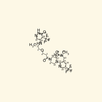 C[C@@H](COCCC(=O)N1CCN2c3ncc(C(F)(F)F)cc3CN(C)C(=O)[C@H]2C1)Nc1cn[nH]c(=O)c1C(F)(F)F